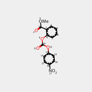 COC(=O)c1ccccc1OC(=O)Oc1ccc([N+](=O)[O-])cc1